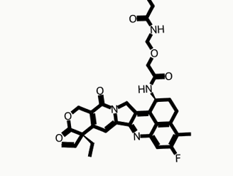 C=C[C@]1(CC)C(=O)OCc2c1cc1n(c2=O)Cc2c-1nc1cc(F)c(C)c3c1c2[C@@H](NC(=O)COCNC(=O)CC)CC3